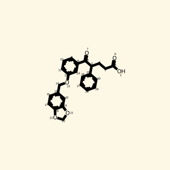 O=C(O)CCC(C(=O)c1cccc(OCc2ccc3c(c2)OCO3)c1)c1ccccc1